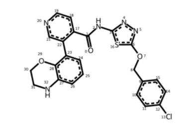 O=C(Nc1nnc(OCc2ccc(Cl)cc2)s1)c1ccncc1-c1cccc2c1OCCN2